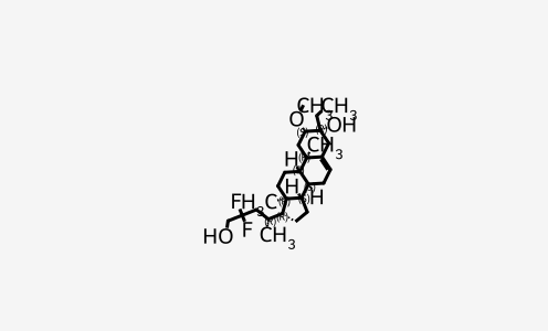 CC[C@@]1(O)CC2=CC[C@H]3[C@@H]4CC[C@H]([C@H](C)CC(F)(F)CO)[C@@]4(C)CC[C@@H]3[C@@]2(C)C[C@@H]1OC